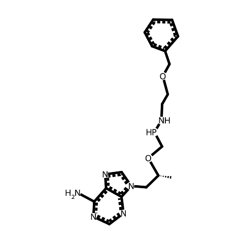 C[C@H](Cn1cnc2c(N)ncnc21)OCPNCCOCc1ccccc1